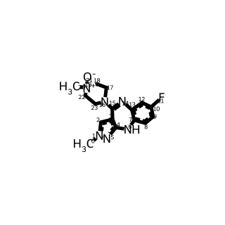 Cn1cc2c(n1)Nc1ccc(F)cc1N=C2N1CC[N+](C)([O-])CC1